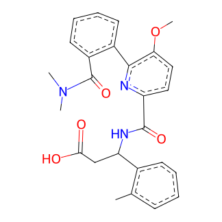 COc1ccc(C(=O)NC(CC(=O)O)c2ccccc2C)nc1-c1ccccc1C(=O)N(C)C